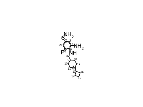 NSc1cc(N)c(NCC2CCN(C3CCC3)CC2)c(F)c1